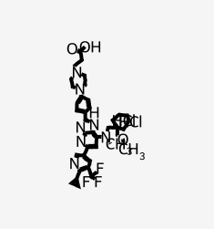 COCC1(CN(C)c2cc(-c3cnc(C4CC4)c(C(F)(F)F)c3)nc3nc(-c4ccc(N5CCN(CCC(=O)O)CC5)cc4)[nH]c23)CCCCC1.Cl.Cl